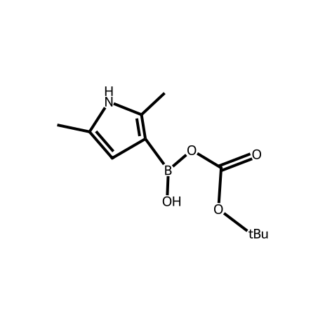 Cc1cc(B(O)OC(=O)OC(C)(C)C)c(C)[nH]1